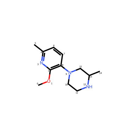 COc1nc(C)ccc1N1CCNC(C)C1